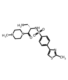 Cc1nc(-c2ccc(S(=O)(=O)N[C@@H](CN)C(=O)N3CCN(C)CC3)cc2)cs1